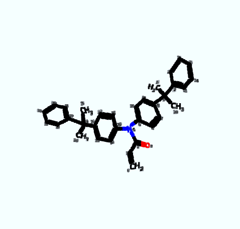 C=CC(=O)N(c1ccc(C(C)(C)c2ccccc2)cc1)c1ccc(C(C)(C)c2ccccc2)cc1